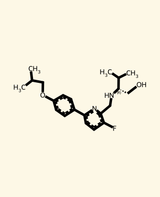 CC(C)COc1ccc(-c2ccc(F)c(CN[C@@H](CO)C(C)C)n2)cc1